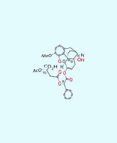 COc1ccc2c3c1O[C@@H]1C(OC(=O)[C@@H](OC(=O)C[C@H](OC(C)=O)C(=O)O)c4ccccc4)=CC[C@]4(O)[C@@H](CCC[C@@]314)C2